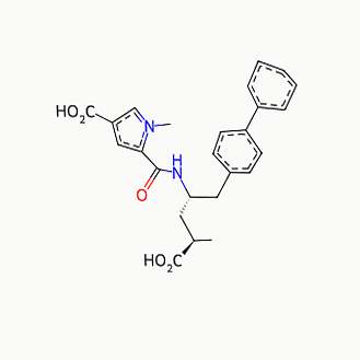 C[C@H](C[C@@H](Cc1ccc(-c2ccccc2)cc1)NC(=O)c1cc(C(=O)O)cn1C)C(=O)O